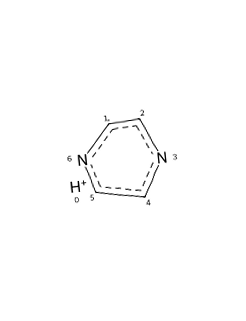 [H+].[c]1cnccn1